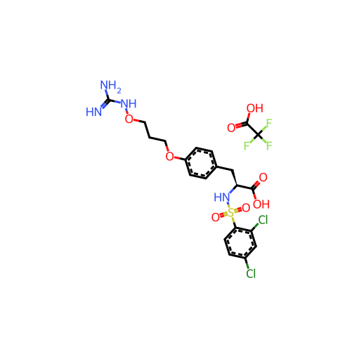 N=C(N)NOCCCOc1ccc(C[C@H](NS(=O)(=O)c2ccc(Cl)cc2Cl)C(=O)O)cc1.O=C(O)C(F)(F)F